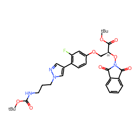 CC(C)(C)OC(=O)NCCCn1cc(-c2ccc(OC[C@H](ON3C(=O)c4ccccc4C3=O)C(=O)OC(C)(C)C)cc2F)cn1